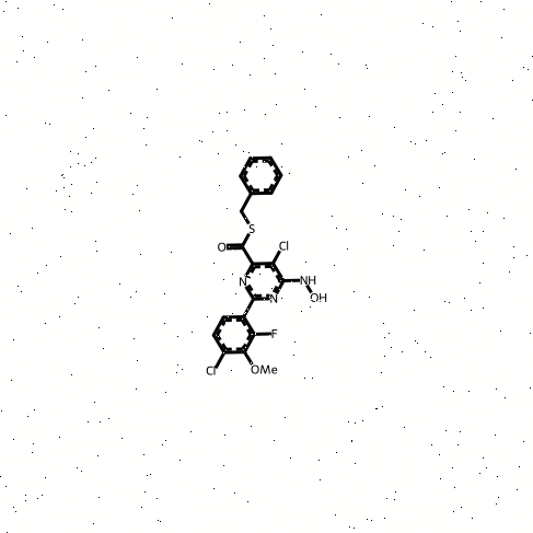 COc1c(Cl)ccc(-c2nc(NO)c(Cl)c(C(=O)SCc3ccccc3)n2)c1F